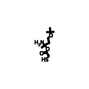 CC(C)(C)OCCC(C)(N)OC(=O)CS